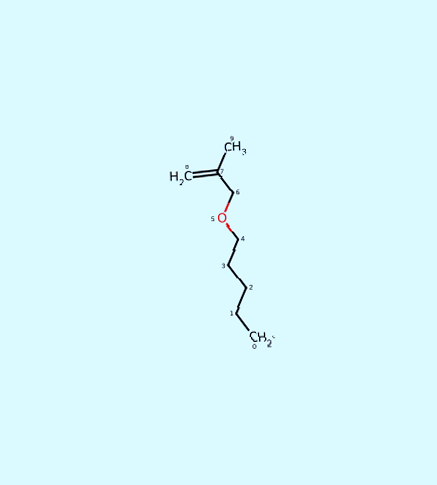 [CH2]CCCCOCC(=C)C